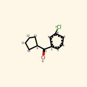 O=C(c1cccc(Cl)c1)C1CCCC1